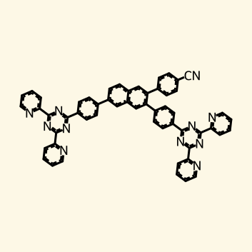 N#Cc1ccc(-c2cc3ccc(-c4ccc(-c5nc(-c6ccccn6)nc(-c6ccccn6)n5)cc4)cc3cc2-c2ccc(-c3nc(-c4ccccn4)nc(-c4ccccn4)n3)cc2)cc1